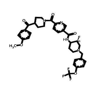 COc1ccc(C(=O)C2CCN(C(=O)c3ccc(C(=O)NC4CCN(Cc5ccc(OC(F)(F)F)cc5)C[C@H]4F)cn3)CC2)cc1